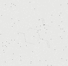 O=[C]N1CCC(O)CC1C(=O)O